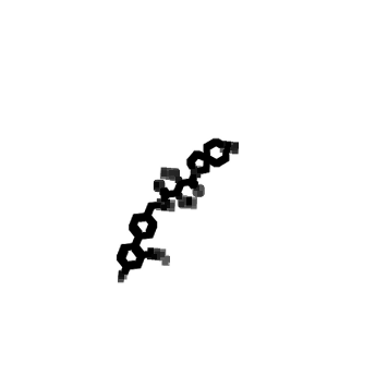 Nc1cc(F)ccc1-c1ccc(CNC(=O)[C@H](O)[C@@H](O)C(=O)N2CCC3(CCNCC3)C2)cc1